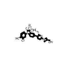 CC1(C)C(=O)N(c2ccc(C#N)c(Cl)c2)c2ccc(-c3ccc(N4CC(CO)C4)nc3F)cc21